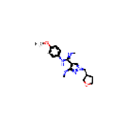 C=Nc1nn(CC2CCOC2)cc1/C(=N\C)Nc1ccc(OC(F)(F)F)cc1